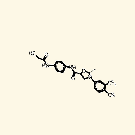 C[C@H]1O[C@H](C(=O)Nc2ccc(NC(=O)CC#N)cc2)CN1c1ccc(C#N)c(C(F)(F)F)c1